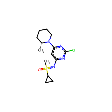 C[C@@H]1CCCCN1c1cc(N=S(C)(=O)C2CC2)nc(Cl)n1